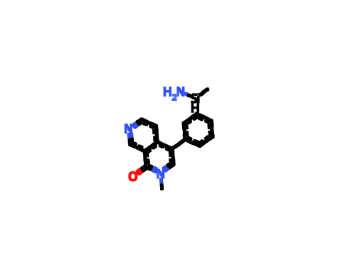 Cn1cc(-c2cccc([SiH](C)N)c2)c2ccncc2c1=O